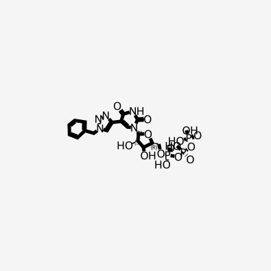 O=c1[nH]c(=O)n([C@@H]2O[C@H](COP(=O)(O)OP(=O)(O)OP(=O)(O)O)C(O)[C@@H]2O)cc1-c1cn(Cc2ccccc2)nn1